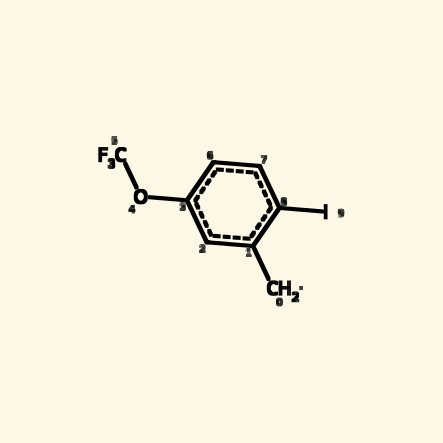 [CH2]c1cc(OC(F)(F)F)ccc1I